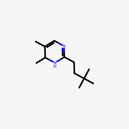 CC1=CN=C(CCC(C)(C)C)NC1C